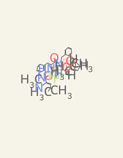 CC(C)C=C(C#N)C(=O)N(C)c1cccc(CC(NCC(F)(F)F)C(=O)N[C@@H](Cc2ccccc2)B2O[C@@H]3C[C@@H]4C[C@@H](C4(C)C)[C@]3(C)O2)c1